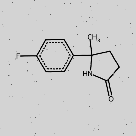 CC1(c2ccc(F)cc2)CCC(=O)N1